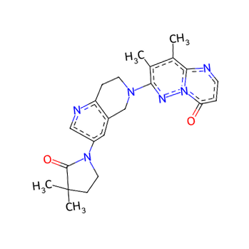 Cc1c(N2CCc3ncc(N4CCC(C)(C)C4=O)cc3C2)nn2c(=O)ccnc2c1C